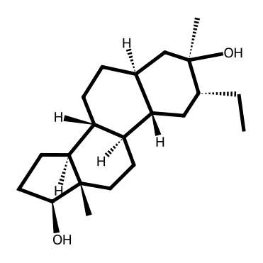 CC[C@@H]1C[C@H]2[C@@H](CC[C@@H]3[C@@H]2CC[C@]2(C)[C@@H](O)CC[C@@H]32)C[C@@]1(C)O